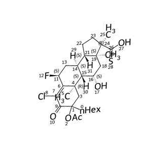 CCCCCCC1(OC(C)=O)C[C@@]2(C)C(=C(Cl)C1=O)[C@@H](F)C[C@@H]1[C@@H]2[C@@H](O)C[C@@]2(C)[C@H]1CC[C@@]2(C)C(O)=S